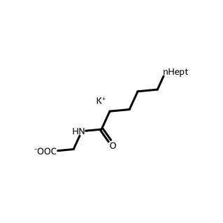 CCCCCCCCCCCC(=O)NCC(=O)[O-].[K+]